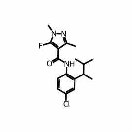 Cc1nn(C)c(F)c1C(=O)Nc1ccc(Cl)cc1C(C)C(C)C